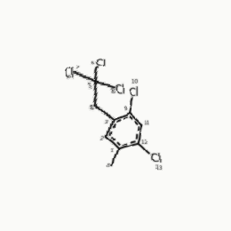 Cc1cc(CC(Cl)(Cl)Cl)c(Cl)cc1Cl